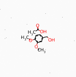 CC(=O)O.COc1ccc(CO)cc1OC